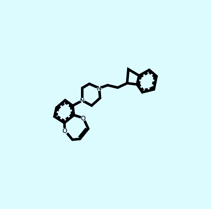 C1=COc2c(cccc2N2CCN(CCC3Cc4ccccc43)CC2)OC1